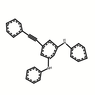 C(#Cc1cc(Nc2ccccc2)cc(Nc2ccccc2)c1)c1ccccc1